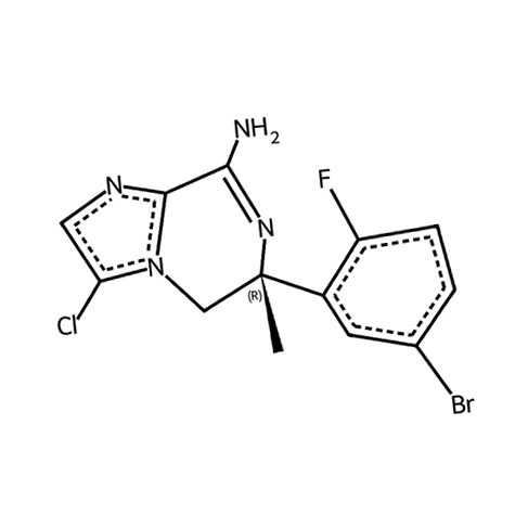 C[C@@]1(c2cc(Br)ccc2F)Cn2c(Cl)cnc2C(N)=N1